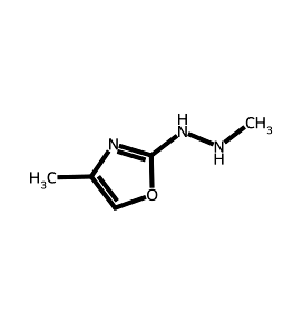 CNNc1nc(C)co1